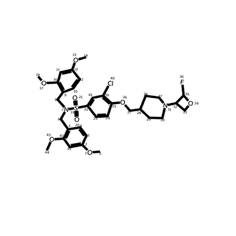 COc1ccc(CN(Cc2ccc(OC)cc2OC)S(=O)(=O)c2ccc(OCC3CCN(C4COC4F)CC3)c(Cl)c2)c(OC)c1